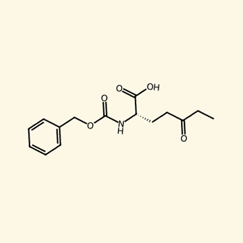 CCC(=O)CC[C@H](NC(=O)OCc1ccccc1)C(=O)O